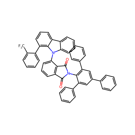 O=C1c2cccc(-n3c4ccccc4c4cccc(-c5ccccc5C(F)(F)F)c43)c2C(=O)N1c1c(-c2ccccc2)cc(-c2ccccc2)cc1-c1ccccc1